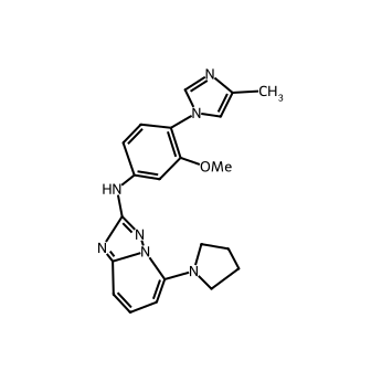 COc1cc(Nc2nc3cccc(N4CCCC4)n3n2)ccc1-n1cnc(C)c1